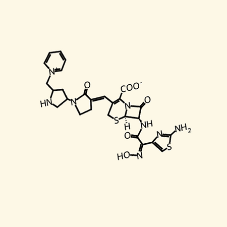 Nc1nc(/C(=N/O)C(=O)N[C@@H]2C(=O)N3C(C(=O)[O-])=C(/C=C4\CCN(C5CNC(C[n+]6ccccc6)C5)C4=O)CS[C@H]23)cs1